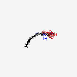 CCC=CCC=CCC=CCC=CC/C=C\CCCC(=O)NCCSOP(=O)(O)O